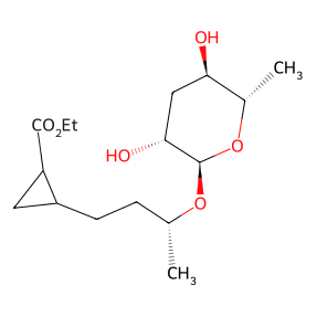 CCOC(=O)C1CC1CC[C@@H](C)O[C@@H]1O[C@@H](C)[C@H](O)C[C@H]1O